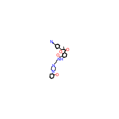 COc1ccccc1N1CCN(CCCNC(=O)c2cccc3c(=O)c(C)c(-c4ccc(C#N)cc4)oc23)CC1